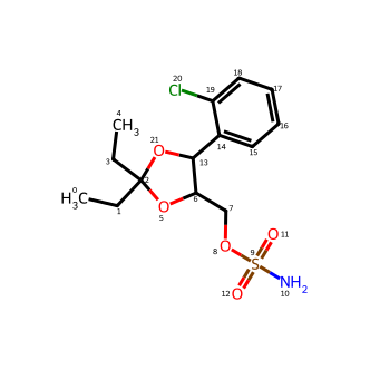 CCC1(CC)OC(COS(N)(=O)=O)C(c2ccccc2Cl)O1